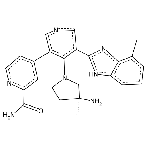 Cc1cccc2[nH]c(-c3cncc(-c4ccnc(C(N)=O)c4)c3N3CC[C@](C)(N)C3)nc12